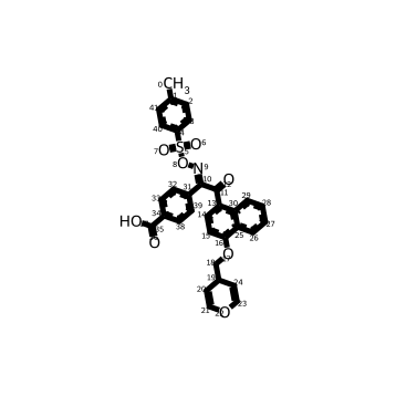 Cc1ccc(S(=O)(=O)O/N=C(/C(=O)c2ccc(OCC3C=COC=C3)c3ccccc23)c2ccc(C(=O)O)cc2)cc1